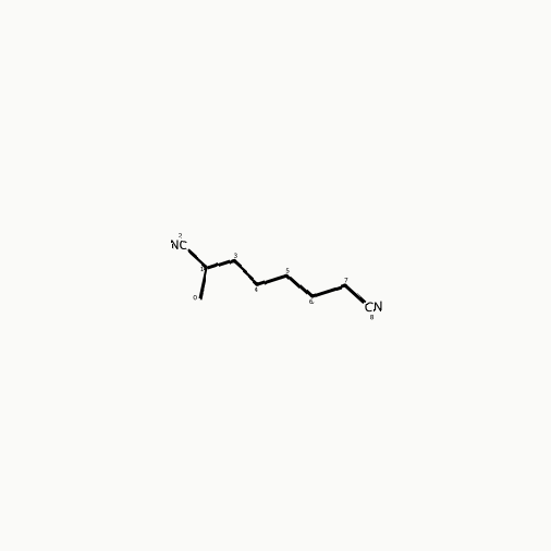 CC(C#N)CCCCCC#N